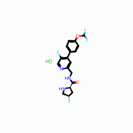 Cl.O=C(NCc1cc(-c2ccc(OC(F)F)cc2)c(F)cn1)[C@H]1C[C@@H](F)CN1